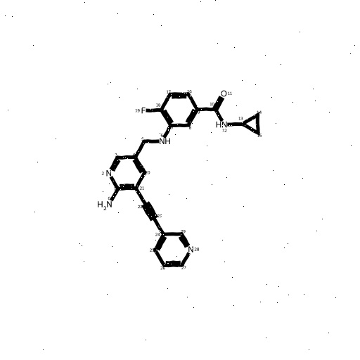 Nc1ncc(CNc2cc(C(=O)NC3CC3)ccc2F)cc1C#Cc1cccnc1